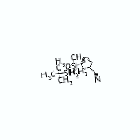 CC(C)(C)[SiH2]O[Si](C)(C)c1cccc(C#N)c1